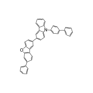 c1ccc(-c2ccc(-n3c4ccccc4c4cc(-c5ccc6oc7cc(-c8ccccc8)ccc7c6c5)ccc43)cc2)cc1